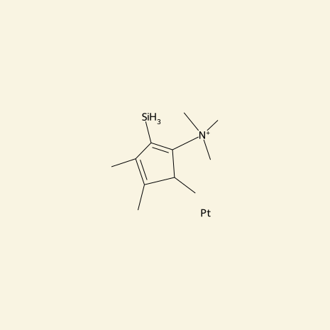 CC1=C(C)C(C)C([N+](C)(C)C)=C1[SiH3].[Pt]